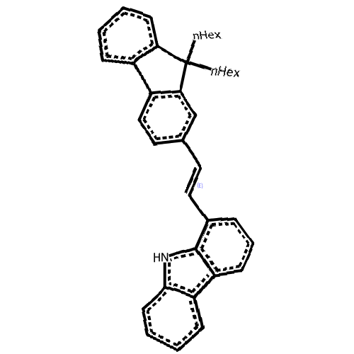 CCCCCCC1(CCCCCC)c2ccccc2-c2ccc(/C=C/c3cccc4c3[nH]c3ccccc34)cc21